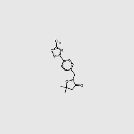 CC1(C)CC(=O)N(Cc2ccc(-c3noc(C(F)(F)F)n3)cc2)O1